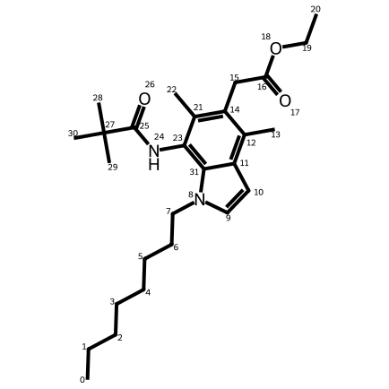 CCCCCCCCn1ccc2c(C)c(CC(=O)OCC)c(C)c(NC(=O)C(C)(C)C)c21